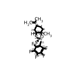 C=C(C)[C@@H]1CC[C@]2(C)O[P@@](=S)(Cc3c(F)c(F)c(F)c(F)c3F)S[C@H]2C1